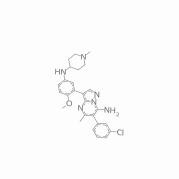 COc1ccc(NC2CCN(C)CC2)cc1-c1cnn2c(N)c(-c3cccc(Cl)c3)c(C)nc12